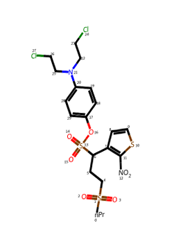 CCCS(=O)(=O)CCC(c1ccsc1[N+](=O)[O-])S(=O)(=O)Oc1ccc(N(CCCl)CCCl)cc1